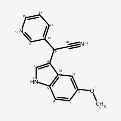 COc1ccc2[nH]cc(C(C#N)c3cccnc3)c2c1